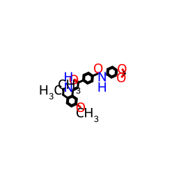 COc1ccc2c(c1)/C(=C/C(=O)c1ccc(C(=O)Nc3ccc4c(c3)OCO4)cc1)NC(C)(C)C2